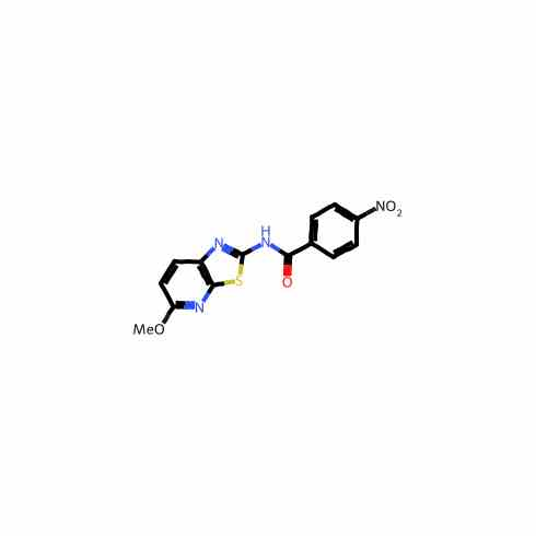 COc1ccc2nc(NC(=O)c3ccc([N+](=O)[O-])cc3)sc2n1